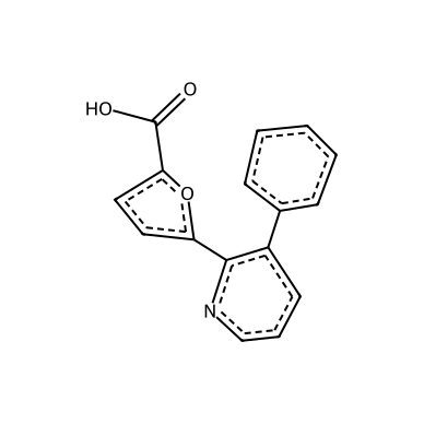 O=C(O)c1ccc(-c2ncccc2-c2ccccc2)o1